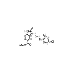 COC(=O)c1ccc2[nH]c(=O)n(CCCOc3ncc(Cl)cc3Cl)c2c1